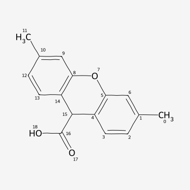 Cc1ccc2c(c1)Oc1cc(C)ccc1C2C(=O)O